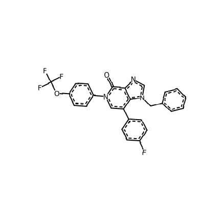 O=c1c2ncn(Cc3ccccc3)c2c(-c2ccc(F)cc2)cn1-c1ccc(OC(F)(F)F)cc1